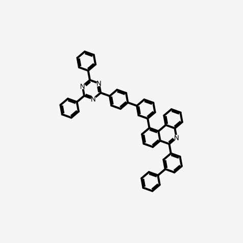 c1ccc(-c2cccc(-c3nc4ccccc4c4c(-c5cccc(-c6ccc(-c7nc(-c8ccccc8)nc(-c8ccccc8)n7)cc6)c5)cccc34)c2)cc1